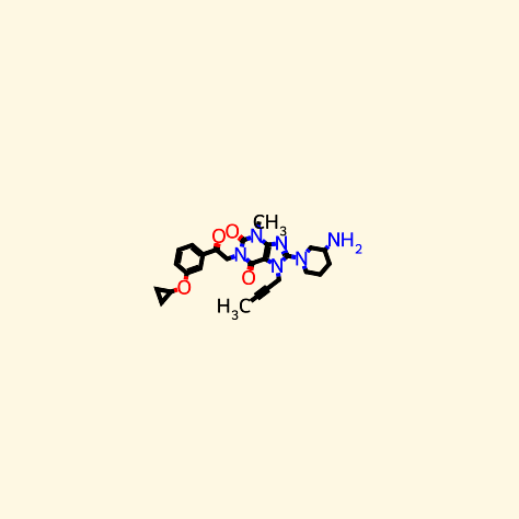 CC#CCn1c(N2CCCC(N)C2)nc2c1c(=O)n(CC(=O)c1cccc(OC3CC3)c1)c(=O)n2C